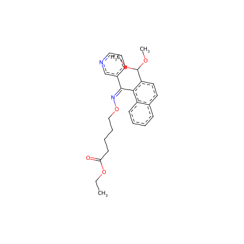 CCOC(=O)CCCCO/N=C(/c1cccnc1)c1c(C(OC)OC)ccc2ccccc12